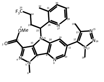 COC(=O)c1nn(C)c2c3ncc(-c4c(C)nnn4C)cc3n(C(CCC(F)(F)F)c3ncccc3C)c12